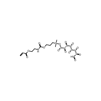 C=CC(=O)OCCNC(=O)OCCC[Si](C)(C)O[Si](=O)[Si](=O)[Si](=O)[Si](=O)[Si](=O)[Si](=O)[Si](=O)[SiH]=O